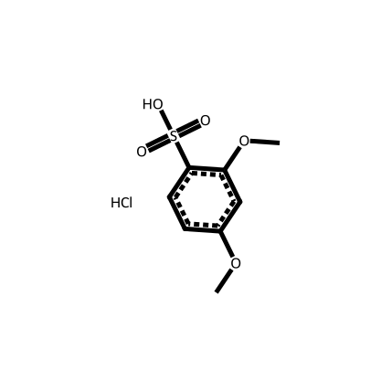 COc1ccc(S(=O)(=O)O)c(OC)c1.Cl